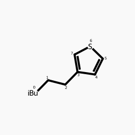 CCC(C)CCc1ccsc1